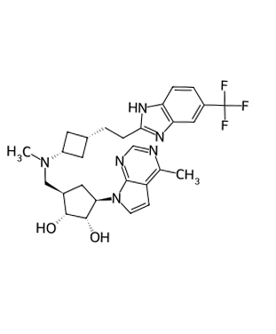 Cc1ncnc2c1ccn2[C@@H]1C[C@H](CN(C)[C@H]2C[C@@H](CCc3nc4cc(C(F)(F)F)ccc4[nH]3)C2)[C@@H](O)[C@H]1O